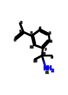 C=C(C)c1cccc(C(C)(C)N)c1